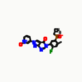 Cc1cc(F)c(-n2cnc3nn(-c4ccc[n+]([O-])c4)cc3c2=O)cc1[S+]([O-])CC(F)(F)F